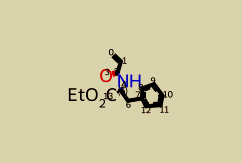 C=CC(=O)N[C@@H](Cc1ccccc1)C(=O)OCC